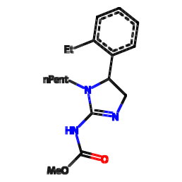 CCCCCN1C(NC(=O)OC)=NCC1c1ccccc1CC